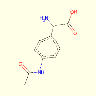 CC(=O)Nc1ccc(C(N)C(=O)O)cc1